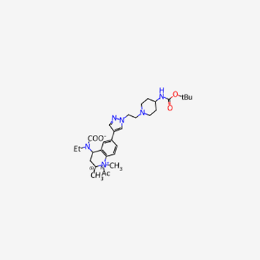 CCN(C(=O)[O-])C1C[C@H](C)[N@+](C)(C(C)=O)c2ccc(-c3cnn(CCN4CCC(NC(=O)OC(C)(C)C)CC4)c3)cc21